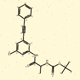 CC(NC(=O)OC(C)(C)C)C(=O)Nc1cc(Cl)cc(C#Cc2ccccc2)n1